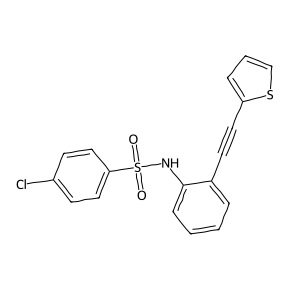 O=S(=O)(Nc1ccccc1C#Cc1cccs1)c1ccc(Cl)cc1